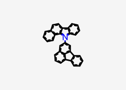 c1ccc2c(c1)-c1cccc3cc(-n4c5ccccc5c5ccc6ccccc6c54)cc-2c13